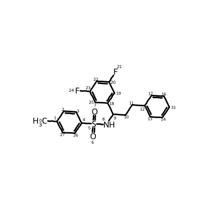 Cc1ccc(S(=O)(=O)NC(CCc2ccccc2)c2cc(F)cc(F)c2)cc1